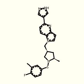 Cc1cc(SN2C[C@@H](Cn3ccc4nc(-c5cn[nH]c5)ccc43)C[C@H]2C)ccc1F